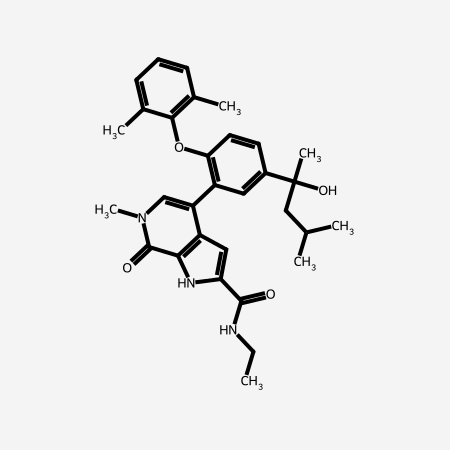 CCNC(=O)c1cc2c(-c3cc(C(C)(O)CC(C)C)ccc3Oc3c(C)cccc3C)cn(C)c(=O)c2[nH]1